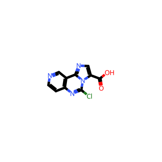 O=C(O)c1cnc2c3cnccc3nc(Cl)n12